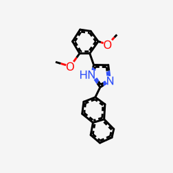 COc1cccc(OC)c1-c1cnc(-c2ccc3ccccc3c2)[nH]1